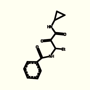 CCC(NC(=O)c1ccccc1)C(=O)C(=O)NC1CC1